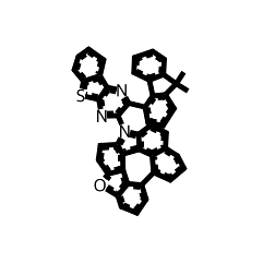 CC1(C)c2ccccc2-c2c(-c3nc4c(nc3-n3c5ccc6cccc7c6c5c5c6c(ccc53)oc3cccc-7c36)sc3ccccc34)cccc21